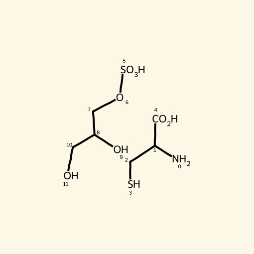 NC(CS)C(=O)O.O=S(=O)(O)OCC(O)CO